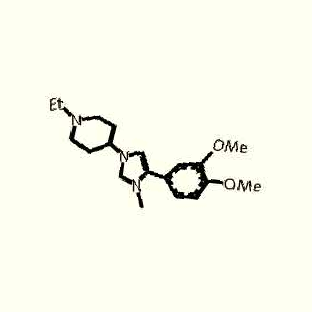 CCN1CCC(N2C=C(c3ccc(OC)c(OC)c3)N(C)C2)CC1